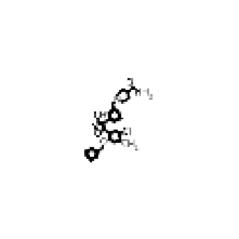 Cc1cc(OCc2ccccc2)c(-c2onc(C)c2-c2cccc(CN3CCC(C(N)=O)CC3)c2)cc1Cl